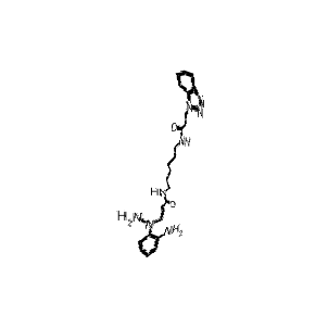 Nc1ccccc1N(N)CCC(=O)NCCCCCCNC(=O)CCn1nnc2ccccc21